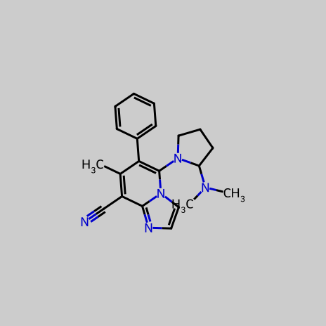 Cc1c(-c2ccccc2)c(N2CCCC2N(C)C)n2ccnc2c1C#N